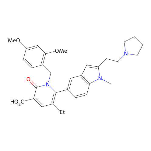 CCc1cc(C(=O)O)c(=O)n(Cc2ccc(OC)cc2OC)c1-c1ccc2c(c1)cc(CCN1CCCC1)n2C